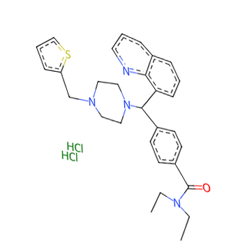 CCN(CC)C(=O)c1ccc(C(c2cccc3cccnc23)N2CCN(Cc3cccs3)CC2)cc1.Cl.Cl